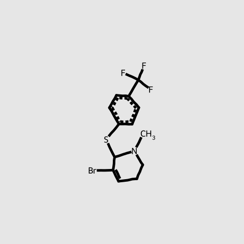 CN1CCC=C(Br)C1Sc1ccc(C(F)(F)F)cc1